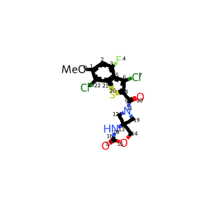 COc1cc(F)c2c(Cl)c(C(=O)N3CC4(COC(=O)N4)C3)sc2c1Cl